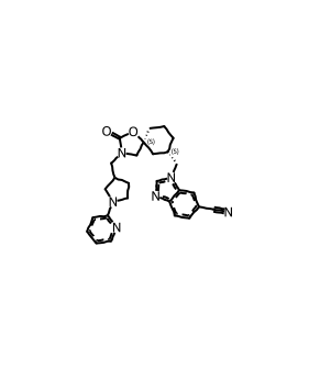 N#Cc1ccc2ncn(C[C@H]3CCC[C@]4(C3)CN(CC3CCN(c5ccccn5)C3)C(=O)O4)c2c1